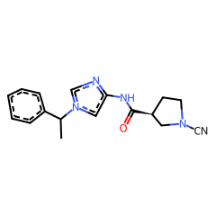 CC(c1ccccc1)n1cnc(NC(=O)[C@H]2CCN(C#N)C2)c1